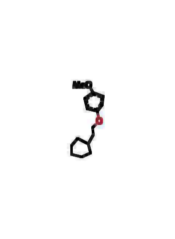 COc1ccc(OCCC2CCCCC2)cc1